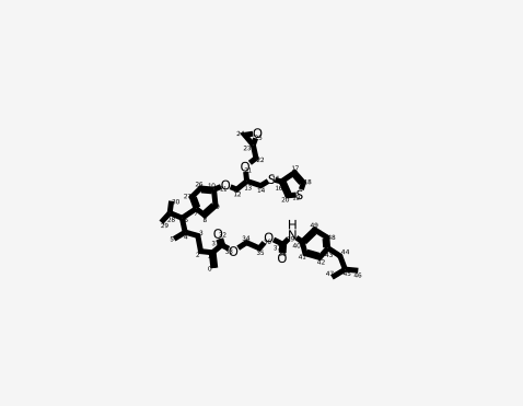 C=C(CCC(C)C(c1ccc(OCC(CSc2ccsc2)OCC2CO2)cc1)C(C)C)C(=O)OCCOC(=O)Nc1ccc(CC(C)C)cc1